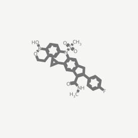 CNC(=O)C1=C(c2ccc(F)cc2)Cc2cc(N(c3ccc4c(c3)CCOB4O)S(C)(=O)=O)c(C3CC3)cc21